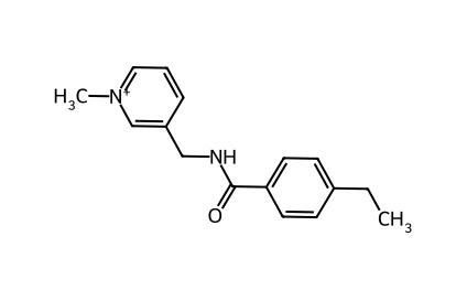 CCc1ccc(C(=O)NCc2ccc[n+](C)c2)cc1